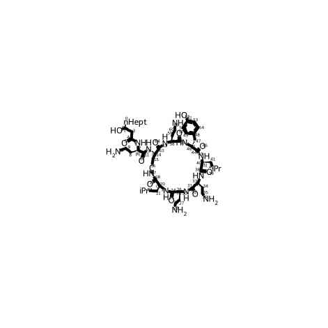 CCCCCCC[C@@H](O)CC(=O)N[C@H](CCN)C(=O)N[C@H]1CCNC(=O)[C@H](CC(C)C)NC(=O)[C@H](CCN)NC(=O)[C@H](CCN)NC(=O)[C@H](CC(C)C)NC(=O)[C@@H](Cc2ccc(O)cc2)NC(=O)[C@H](CCN)NC1=O